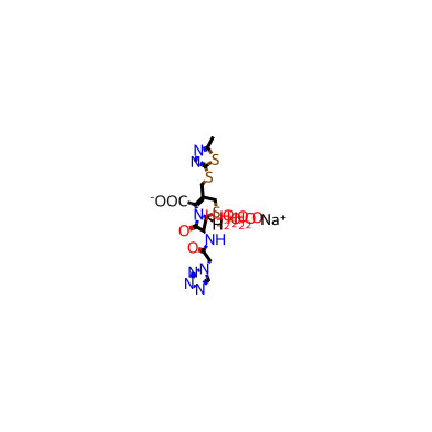 Cc1nnc(SCC2=C(C(=O)[O-])N3C(=O)[C@@H](NC(=O)Cn4cnnn4)[C@H]3SC2)s1.O.O.O.O.O.[Na+]